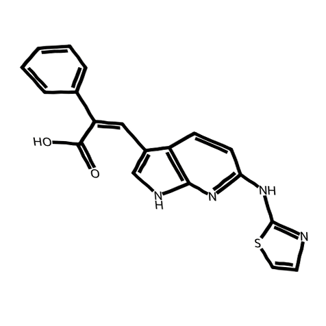 O=C(O)C(=Cc1c[nH]c2nc(Nc3nccs3)ccc12)c1ccccc1